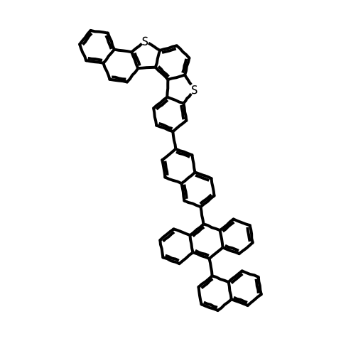 c1ccc2c(-c3c4ccccc4c(-c4ccc5cc(-c6ccc7c(c6)sc6ccc8sc9c%10ccccc%10ccc9c8c67)ccc5c4)c4ccccc34)cccc2c1